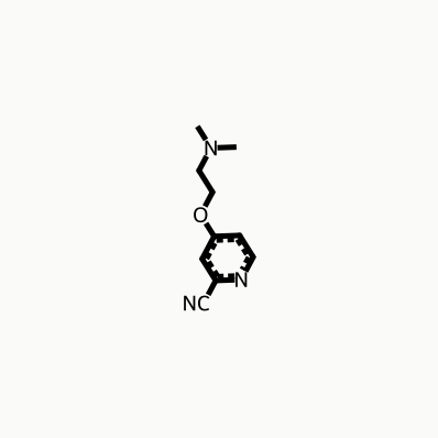 CN(C)CCOc1ccnc(C#N)c1